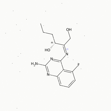 CCC[C@@H](O)/C(CO)=N\c1nc(N)nc2cccc(F)c12